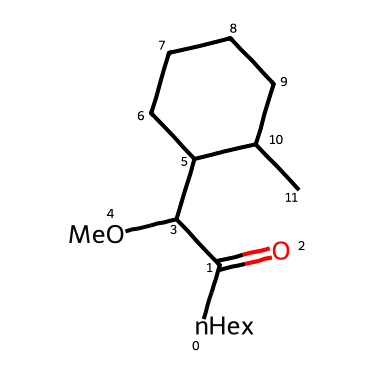 CCCCCCC(=O)C(OC)C1CCCCC1C